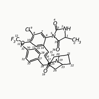 CC1NC(=O)N(c2cc(Cl)c(OC(F)(F)F)cc2/C=C/C(=O)N2C3CCC2CN(Cc2ccc(F)cc2)C3)C1=O